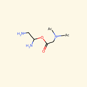 CC(=O)N(CC(=O)OC(N)CN)C(C)=O